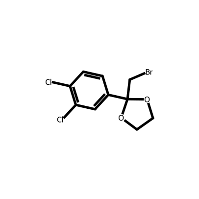 Clc1ccc(C2(CBr)OCCO2)cc1Cl